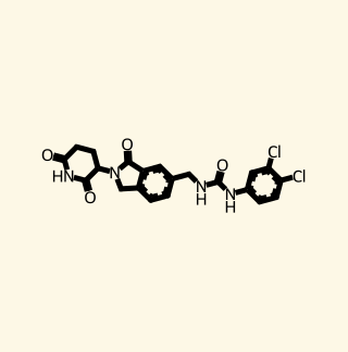 O=C1CCC(N2Cc3ccc(CNC(=O)Nc4ccc(Cl)c(Cl)c4)cc3C2=O)C(=O)N1